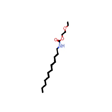 CCCCCCCCCCCCNC(=O)OCCOCC